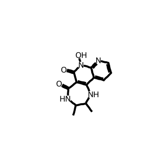 CC1NC(=O)c2c(c3cccnc3n(O)c2=O)NC1C